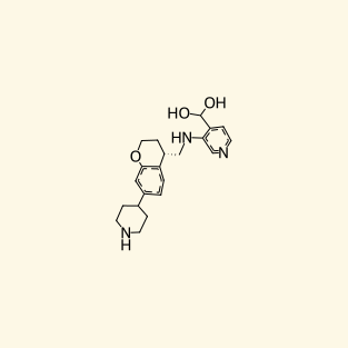 OC(O)c1ccncc1NC[C@H]1CCOc2cc(C3CCNCC3)ccc21